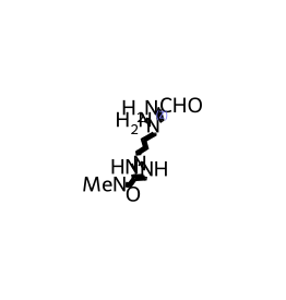 CNC(=O)C1=CNN(CCCCN(N)/C=C(\N)C=O)N1